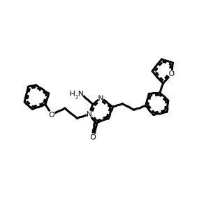 Nc1nc(CCc2cccc(-c3ccco3)c2)cc(=O)n1CCOc1ccccc1